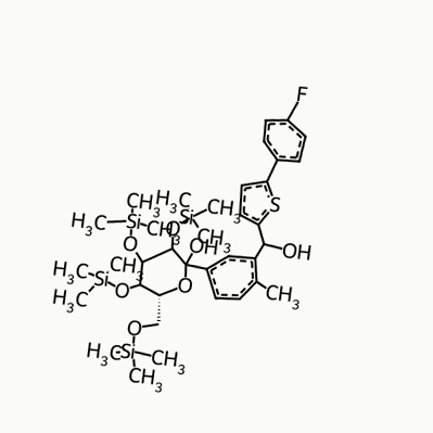 Cc1ccc(C2(O)O[C@H](CO[Si](C)(C)C)C(O[Si](C)(C)C)C(O[Si](C)(C)C)C2O[Si](C)(C)C)cc1C(O)c1ccc(-c2ccc(F)cc2)s1